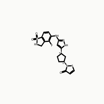 O=c1ccsn1[C@H]1CC[C@@H](c2cc(Nc3ccc4c(c3F)CNS4(=O)=O)n[nH]2)C1